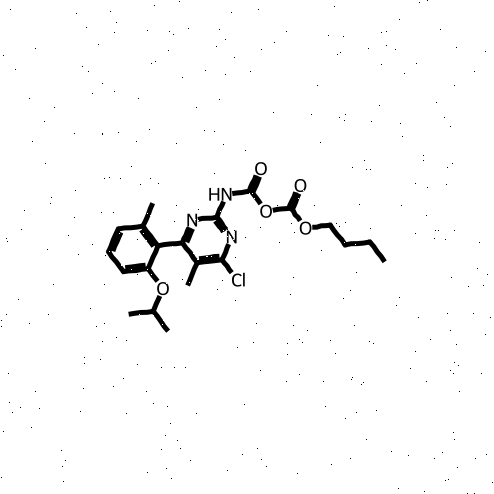 CCCCOC(=O)OC(=O)Nc1nc(Cl)c(C)c(-c2c(C)cccc2OC(C)C)n1